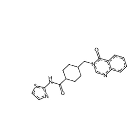 O=C(Nc1nccs1)C1CCC(Cn2cnc3ccccc3c2=O)CC1